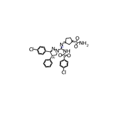 NS(=O)(=O)[C@@H]1CC[C@@H](/N=C(\NS(=O)(=O)c2ccc(Cl)cc2)N2C[C@@H](c3ccccc3)C(c3ccc(Cl)cc3)=N2)C1